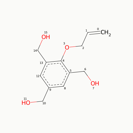 C=CCOc1c(CO)cc(CO)cc1CO